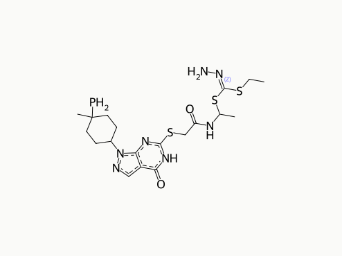 CCS/C(=N/N)SC(C)NC(=O)CSc1nc2c(cnn2C2CCC(C)(P)CC2)c(=O)[nH]1